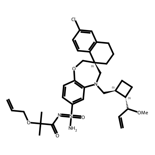 C=CCOC(C)(C)C(=O)N=S(N)(=O)c1ccc2c(c1)N(C[C@H]1CC[C@@H]1C(C=C)OC)C[C@@]1(CCCc3cc(Cl)ccc31)CO2